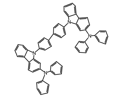 c1ccc(N(c2ccccc2)c2ccc3c4ccccc4n(-c4ccc(-c5ccc(-n6c7ccccc7c7ccc(N(c8ccccc8)c8ccccc8)cc76)cc5)cc4)c3c2)cc1